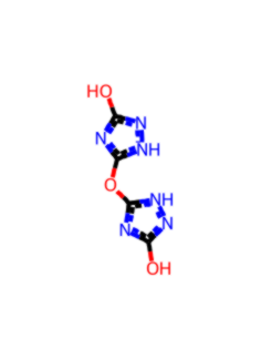 Oc1n[nH]c(Oc2nc(O)n[nH]2)n1